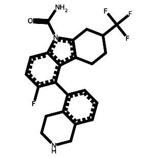 NC(=O)n1c2c(c3c(-c4cccc5c4CCNC5)c(F)ccc31)CCC(C(F)(F)F)C2